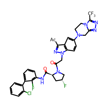 CC(=O)c1nn(CC(=O)N2C[C@H](F)C[C@H]2C(=O)Nc2cccc(-c3ccccc3Cl)c2F)c2ccc(N3CCn4c(nnc4C(F)(F)F)C3)cc12